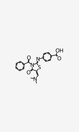 CN(C)C=C1SC(=Nc2ccc(C(=O)O)cc2)N(C(=O)c2ccccc2)C1=O